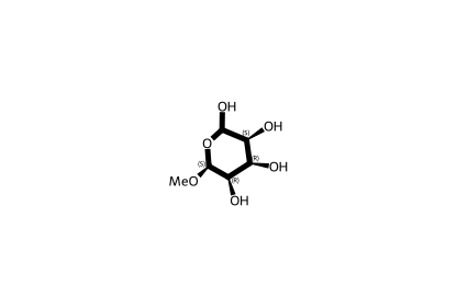 CO[C@H]1OC(O)[C@@H](O)[C@@H](O)[C@H]1O